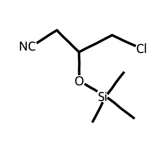 C[Si](C)(C)OC(CCl)CC#N